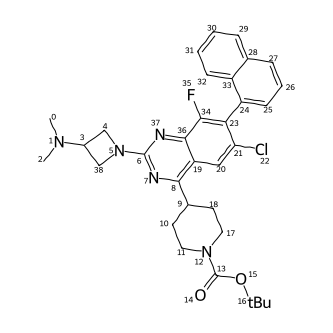 CN(C)C1CN(c2nc(C3CCN(C(=O)OC(C)(C)C)CC3)c3cc(Cl)c(-c4cccc5ccccc45)c(F)c3n2)C1